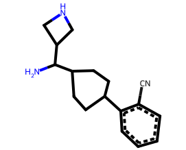 N#Cc1ccccc1C1CCC(C(N)C2CNC2)CC1